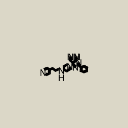 CNc1nc(-c2ccccc2)nc(N2CCC(NCCCc3ccncc3)CC2)c1C=N